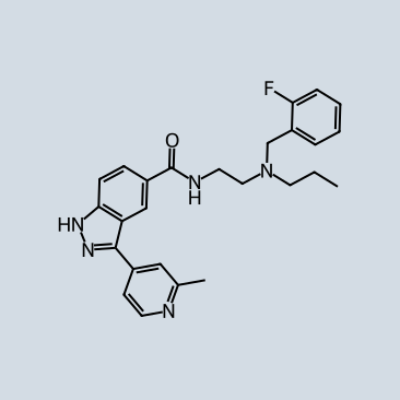 CCCN(CCNC(=O)c1ccc2[nH]nc(-c3ccnc(C)c3)c2c1)Cc1ccccc1F